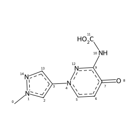 Cn1cc(-n2ccc(=O)c(NC(=O)O)n2)cn1